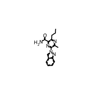 CCCc1nc(C)c(-n2cc3ccccc3n2)nc1C(N)=O